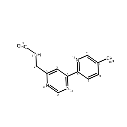 O=CNCc1cc(-c2ccc(C(F)(F)F)cn2)ncn1